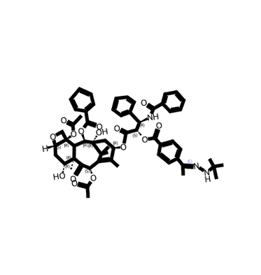 CC(=O)O[C@@H]1C(=O)[C@]2(C)C([C@@H](OC(=O)c3ccccc3)[C@@]3(O)C[C@@H](OC(=O)[C@@H](OC(=O)c4ccc(/C(C)=N/NC(C)(C)C)cc4)[C@H](NC(=O)c4ccccc4)c4ccccc4)C(C)=C1C3(C)C)[C@@]1(OC(C)=O)CO[C@H]1C[C@H]2O